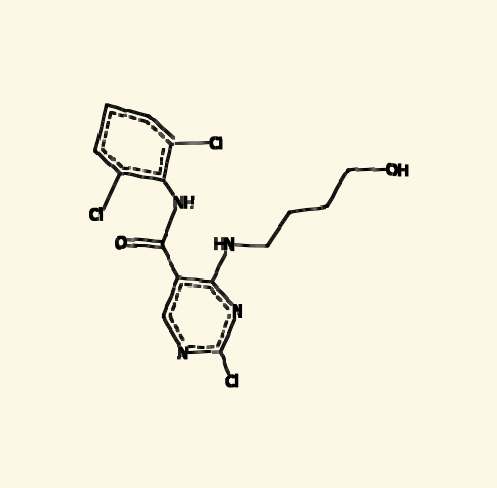 O=C(Nc1c(Cl)cccc1Cl)c1cnc(Cl)nc1NCCCCO